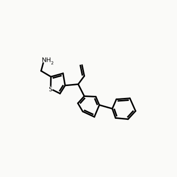 C=CC(c1cccc(-c2ccccc2)c1)c1csc(CN)c1